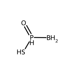 B[PH](=O)S